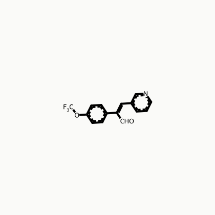 O=C/C(=C\c1cccnc1)c1ccc(OC(F)(F)F)cc1